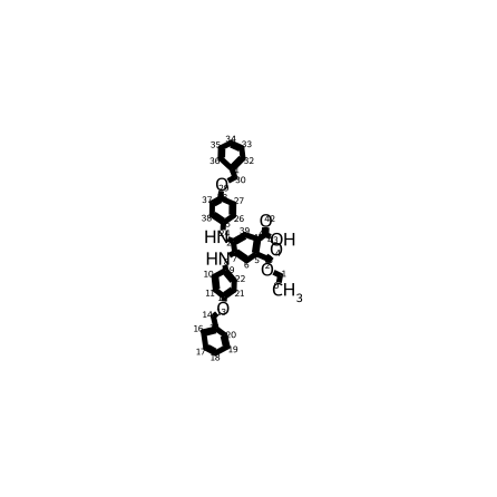 CCOC(=O)c1cc(Nc2ccc(OCc3ccccc3)cc2)c(Nc2ccc(OCc3ccccc3)cc2)cc1C(=O)O